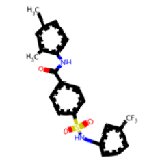 Cc1ccc(NC(=O)c2ccc(S(=O)(=O)Nc3cccc(C(F)(F)F)c3)cc2)c(C)c1